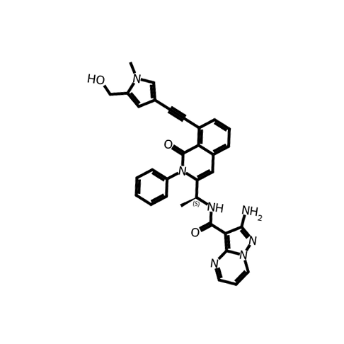 C[C@H](NC(=O)c1c(N)nn2cccnc12)c1cc2cccc(C#Cc3cc(CO)n(C)c3)c2c(=O)n1-c1ccccc1